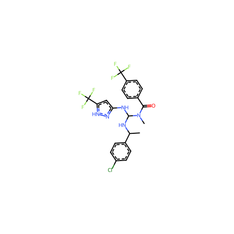 CC(NC(Nc1cc(C(F)(F)F)[nH]n1)N(C)C(=O)c1ccc(C(F)(F)F)cc1)c1ccc(Cl)cc1